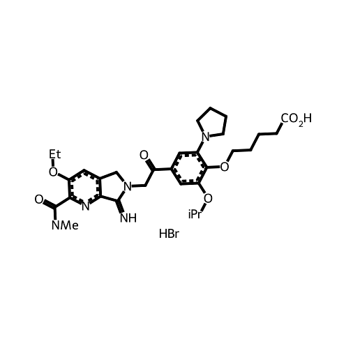 Br.CCOc1cc2c(nc1C(=O)NC)C(=N)N(CC(=O)c1cc(OC(C)C)c(OCCCCC(=O)O)c(N3CCCC3)c1)C2